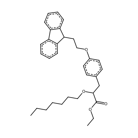 CCCCCCCOC(Cc1ccc(OCCC2c3ccccc3-c3ccccc32)cc1)C(=O)OCC